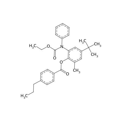 CCCc1ccc(C(=O)Oc2c(C)cc(C(C)(C)C)cc2N(C(=O)OCC)c2ccccc2)cc1